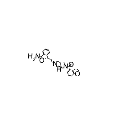 NC(=O)c1ccccc1[CH]CCN1CC2CN(C(=O)c3cccc4c3CCO4)C[C@@H]2C1